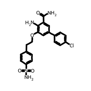 NC(=O)c1cc(-c2ccc(Cl)cc2)cc(OCCc2ccc(S(N)(=O)=O)cc2)c1N